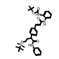 CC(C)(C)OC(=O)Nc1ccccc1NC(=O)/C=C/c1ccc(C(CCO[Si](C)(C)C(C)(C)C)C(=O)Nc2ccccc2)cc1